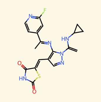 C=C(NC1CC1)n1ncc(/C=C2\SC(=O)NC2=O)c1/N=C(\C)c1ccnc(F)c1